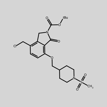 CC(C)(C)OC(=O)N1Cc2c(CCl)ccc(OCC3CCN(S(C)(=O)=O)CC3)c2C1=O